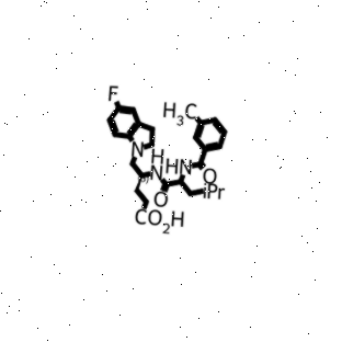 Cc1cccc(C(=O)NC(CC(C)C)C(=O)N[C@@H](CCC(=O)O)CN2CCc3cc(F)ccc32)c1